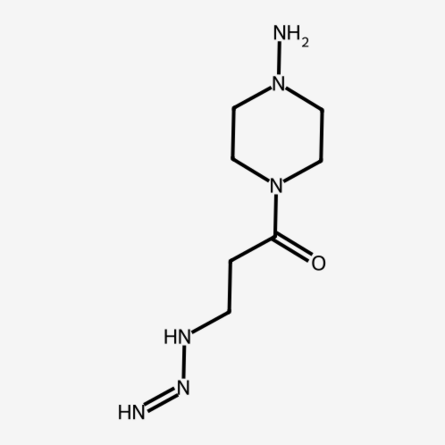 N=NNCCC(=O)N1CCN(N)CC1